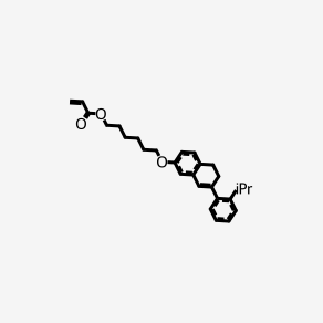 C=CC(=O)OCCCCCCOc1ccc2c(c1)C=C(c1ccccc1C(C)C)CC2